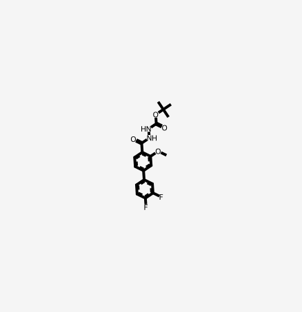 COc1cc(-c2ccc(F)c(F)c2)ccc1C(=O)NNC(=O)OC(C)(C)C